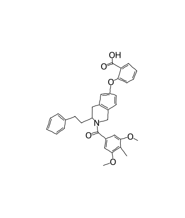 COc1cc(C(=O)N2Cc3ccc(Oc4ccccc4C(=O)O)cc3CC2CCc2ccccc2)cc(OC)c1C